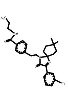 CC1(C)CCC2(CC1)N=C(c1cccc(C(F)(F)F)c1)C(=O)N2CCc1ccc(C(=O)NCCC(=O)O)cc1